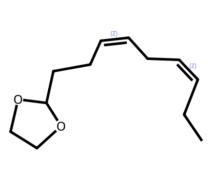 CC/C=C\C/C=C\CCC1OCCO1